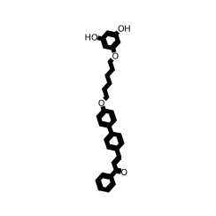 O=C(C=Cc1ccc(-c2ccc(OCCCCCCOc3cc(O)cc(O)c3)cc2)cc1)c1ccccc1